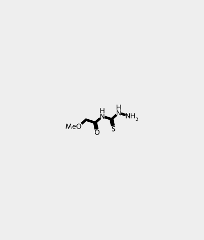 COCC(=O)NC(=S)NN